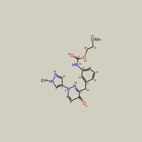 CCn1cc(-n2ccc(=O)c(Cc3cccc(NC(=O)OCCOC)c3)n2)cn1